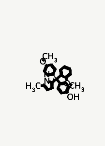 COc1ccc([C@](c2ccc(O)cc2)(c2ccc(C)[nH]2)c2ccccc2OC)cc1